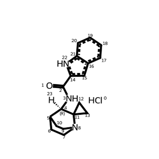 Cl.O=C(N[C@@H]1C2CCN(CC2)C12CC2)c1cc2ccccc2[nH]1